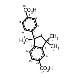 CC1(C)C[C@@](C)(c2ccc(C(=O)O)cc2)c2ccc(C(=O)O)cc21